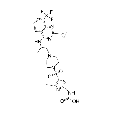 Cc1nc(NC(=O)O)sc1S(=O)(=O)N1CCN(CC(C)Nc2nc(C3CC3)nc3c(C(F)(F)F)cccc23)CC1